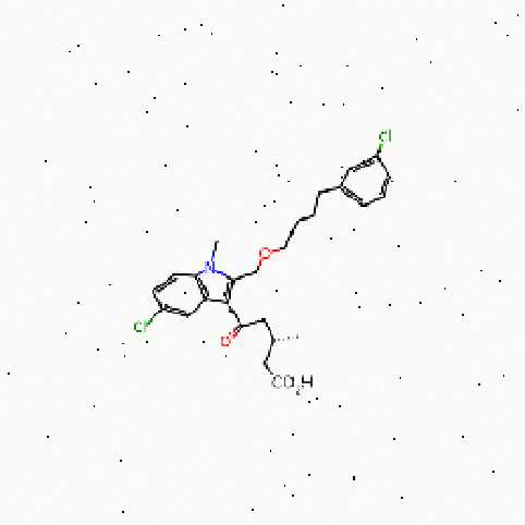 C[C@H](CC(=O)O)CC(=O)c1c(COCCCCc2cccc(Cl)c2)n(C)c2ccc(Cl)cc12